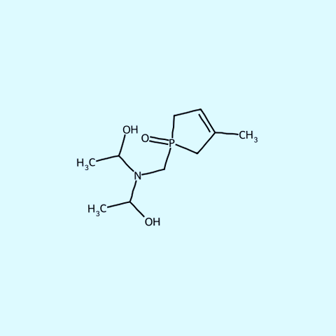 CC1=CCP(=O)(CN(C(C)O)C(C)O)C1